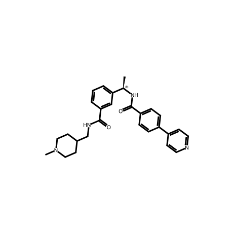 C[C@@H](NC(=O)c1ccc(-c2ccncc2)cc1)c1cccc(C(=O)NCC2CCN(C)CC2)c1